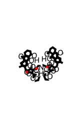 COc1c2c(c(O)c3c4c(c(C)cc13)C1OC3(C5OCCCO5)OC1[C@@](OCCNCCO[C@@]15Oc6c(c(C)cc7c(OC)c8c(c(O)c67)C(=O)CCC8)C6OC(C7OCCCO7)(OC61)[C@]51CO1)(O4)[C@@]31CO1)C(=O)CCC2